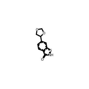 O=c1[nH]sc2cc(C3COCO3)ccc12